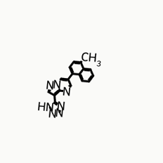 Cc1ccc(-c2cnc3c(-c4nnn[nH]4)cnn3c2)c2ccccc12